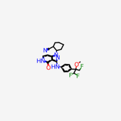 COC(CF)(c1ccc(Nc2nn(C3CCCCC3C#N)c3cc[nH]c(=O)c23)cc1)C(F)F